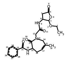 CCOC1OC(=O)CC1NC(=O)CN1CC(C)=CCC(NC(=O)c2ccccc2)C1=O